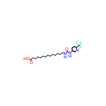 O=C(O)CCCCCCCCCCCCCNC(=O)Nc1ccc(C(F)(F)F)nc1